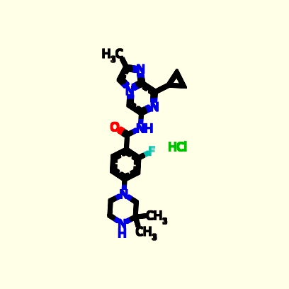 Cc1cn2cc(NC(=O)c3ccc(N4CCNC(C)(C)C4)cc3F)nc(C3CC3)c2n1.Cl